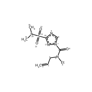 C=CCN(CC)C(=O)n1cnc(S(=O)(=O)N(C)C)n1